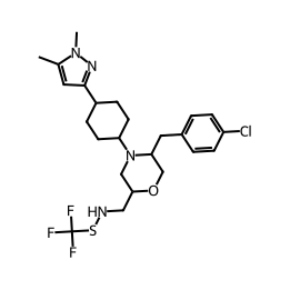 Cc1cc(C2CCC(N3CC(CNSC(F)(F)F)OCC3Cc3ccc(Cl)cc3)CC2)nn1C